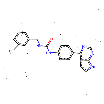 Cc1cccc(CNC(=O)Nc2ccc(-c3ncnc4[nH]ccc34)cc2)c1